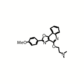 COc1ccc(-c2nc3c(OCCN(C)C)nc4ccccc4c3o2)cc1